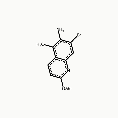 COc1ccc2c(C)c(N)c(Br)cc2n1